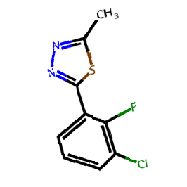 Cc1nnc(-c2cccc(Cl)c2F)s1